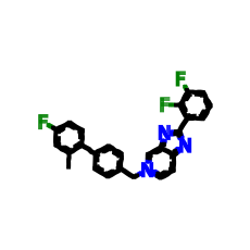 Cc1cc(F)ccc1-c1ccc(Cn2ccc3nc(-c4cccc(F)c4F)nc-3c2)cc1